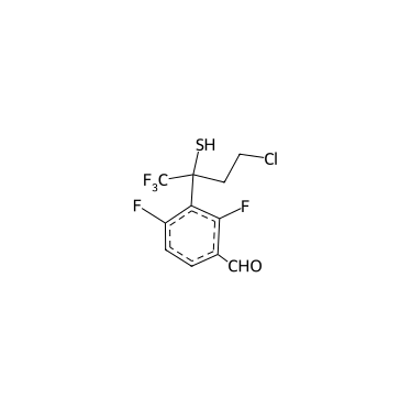 O=Cc1ccc(F)c(C(S)(CCCl)C(F)(F)F)c1F